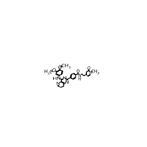 COc1ccc(Nc2nc(-c3ccc(C(=O)NCCc4ccn(C)c(=O)c4)cc3)nc3c2N=CCC3)cc1OC